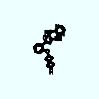 N#Cc1nccnc1Nc1cc(-c2ccccc2OC2CC3(CNC3)C2)on1